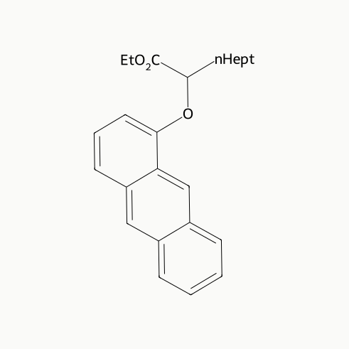 CCCCCCCC(Oc1cccc2cc3ccccc3cc12)C(=O)OCC